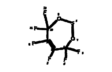 FC1=C(F)C(F)(F)OSOC1(F)F